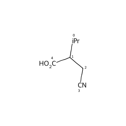 [CH2]C(C)C(CC#N)C(=O)O